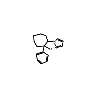 CCC1(c2ccccc2)CCCCCC1n1cncn1